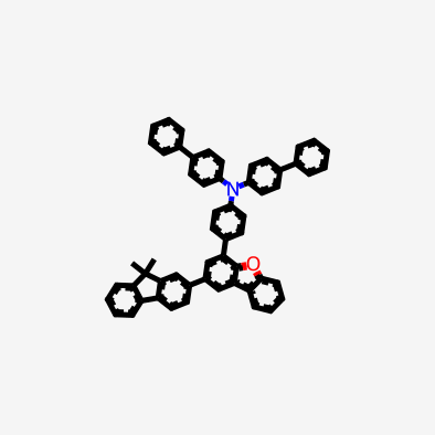 CC1(C)c2ccccc2-c2ccc(-c3cc(-c4ccc(N(c5ccc(-c6ccccc6)cc5)c5ccc(-c6ccccc6)cc5)cc4)c4oc5ccccc5c4c3)cc21